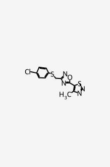 Cc1nnsc1-c1nc(CSc2ccc(Cl)cc2)no1